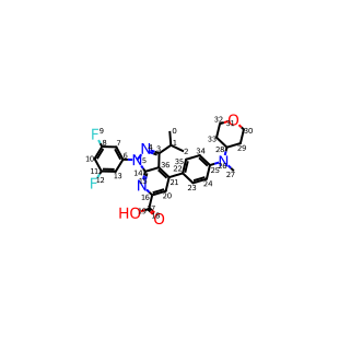 CC(C)c1nn(-c2cc(F)cc(F)c2)c2nc(C(=O)O)cc(-c3ccc(N(C)C4CCOCC4)cc3)c12